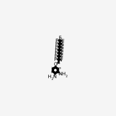 Nc1ccc(OCC(F)(F)C(F)(F)C(F)(F)C(F)(F)C(F)(F)C(F)(F)C(F)(F)F)cc1N